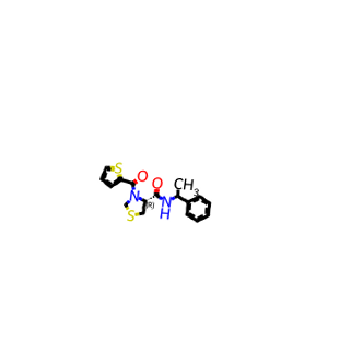 CC(NC(=O)[C@@H]1CSCN1C(=O)c1cccs1)c1ccccc1